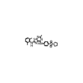 Cc1nc(Nc2ccc(S(=O)(=O)N3CCCC3)cc2)c2nc(Nc3c(C)cccc3C)sc2n1